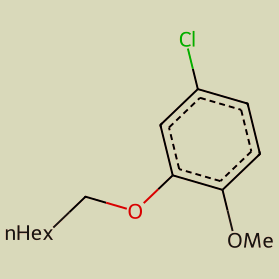 CCCCCCCOc1cc(Cl)ccc1OC